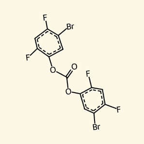 O=C(Oc1cc(Br)c(F)cc1F)Oc1cc(Br)c(F)cc1F